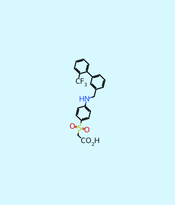 O=C(O)CS(=O)(=O)c1ccc(NCc2cccc(-c3ccccc3C(F)(F)F)c2)cc1